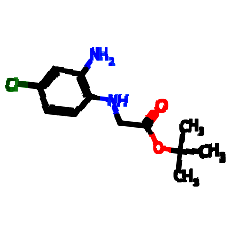 CC(C)(C)OC(=O)CNc1ccc(Cl)cc1N